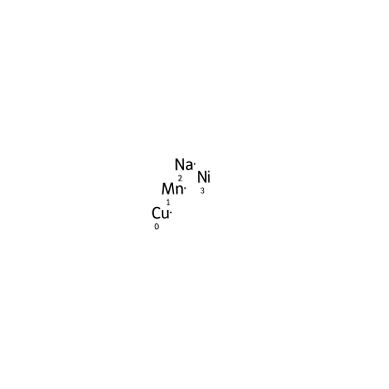 [Cu].[Mn].[Na].[Ni]